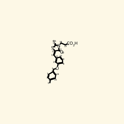 Cc1ccc(COc2cccc(/C=C3/SC(=S)N(CCC(=O)O)C3=O)c2)cc1